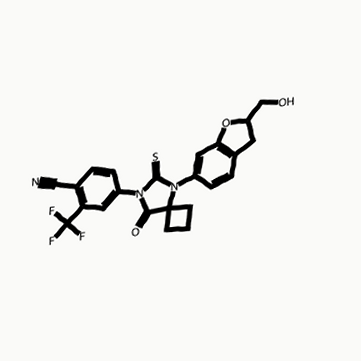 N#Cc1ccc(N2C(=O)C3(CCC3)N(c3ccc4c(c3)OC(CO)C4)C2=S)cc1C(F)(F)F